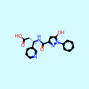 O=C(O)C[C@H](NC(=O)c1cc(O)n(-c2ccccc2)n1)c1cccnc1